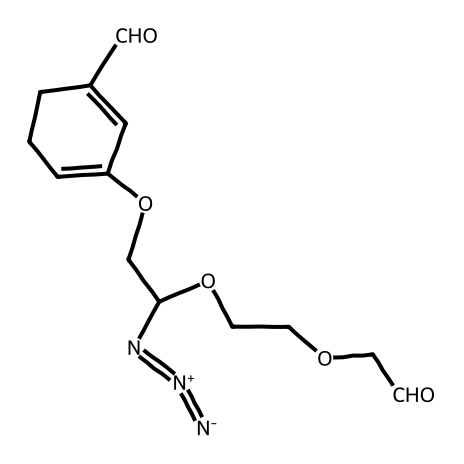 [N-]=[N+]=NC(COC1=CCCC(C=O)=C1)OCCOCC=O